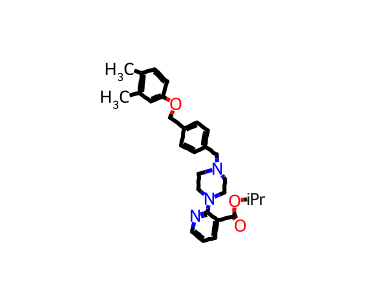 Cc1ccc(OCc2ccc(CN3CCN(c4ncccc4C(=O)OC(C)C)CC3)cc2)cc1C